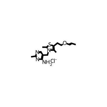 CC=COCCc1sc(C)[n+](Cc2cnc(C)nc2N)c1C.[Cl-]